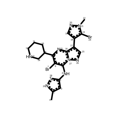 Cc1cc(Nc2c(Br)c(C3CCCNC3)nc3c(-c4cnn(C)c4Br)cnn23)sn1